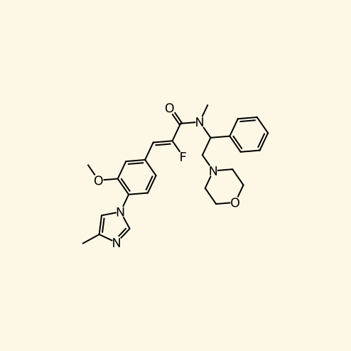 COc1cc(/C=C(\F)C(=O)N(C)C(CN2CCOCC2)c2ccccc2)ccc1-n1cnc(C)c1